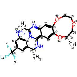 Cc1nc(N[C@H](C)c2cc(N)cc(C(F)(F)F)c2)c2cc3c(cc2n1)OCCOC[C@H](C)O3